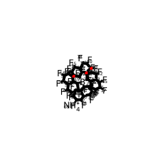 Fc1c(F)c(F)c2c([B-](c3c(F)c(F)c(F)c4c(F)c(F)c(F)c(F)c34)(c3c(F)c(F)c(F)c4c(F)c(F)c(F)c(F)c34)c3c(F)c(F)c(F)c4c(F)c(F)c(F)c(F)c34)c(F)c(F)c(F)c2c1F.[NH4+]